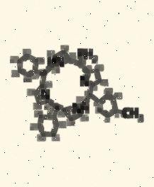 Cc1ccc(-c2c3nc(c(P)c4ccc([nH]4)c(-c4ccccc4)c4nc(c(-c5ccccc5)c5ccc2[nH]5)C=C4)C=C3)cc1